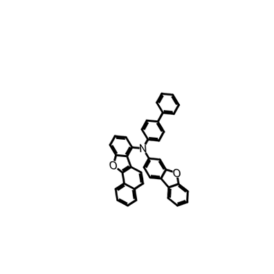 c1ccc(-c2ccc(N(c3ccc4c(c3)oc3ccccc34)c3cccc4oc5c6ccccc6ccc5c34)cc2)cc1